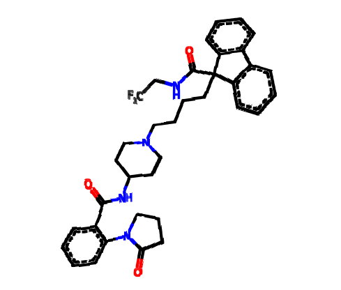 O=C(NC1CCN(CCCCC2(C(=O)NCC(F)(F)F)c3ccccc3-c3ccccc32)CC1)c1ccccc1N1CCCC1=O